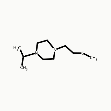 CSCCN1CCN(C(C)C)CC1